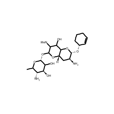 CNC1C(O[C@H]2OC(C)[C@@H](N)[C@H](O)C2O)O[C@H]2C[C@H](N)[C@@H](O[C@H]3C=CCCC3)OC2C1O